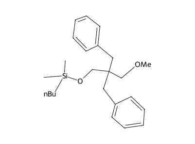 CCCC[Si](C)(C)OCC(COC)(Cc1ccccc1)Cc1ccccc1